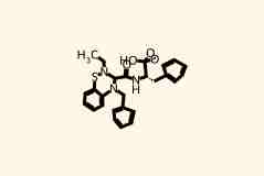 CCN1Sc2ccccc2N(Cc2ccccc2)C1C(=O)N[C@@H](Cc1ccccc1)C1(O)OO1